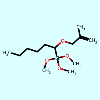 C=C(C)COC(CCCCC)[Si](OC)(OC)OC